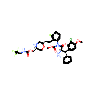 COC(=O)N(C(=O)[C@@H](N)[C@H](c1ccccc1)c1ccc(OC)c(Cl)c1)c1cccc(F)c1CC[C@@H]1CN[C@H](COC(=O)NCC(F)(F)F)CO1